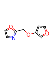 [c]1occc1OCc1ncco1